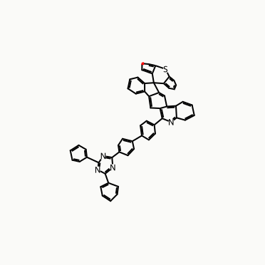 c1ccc(-c2nc(-c3ccccc3)nc(-c3ccc(-c4ccc(-c5nc6ccccc6c6cc7c(cc56)-c5ccccc5C75c6ccccc6Sc6ccccc65)cc4)cc3)n2)cc1